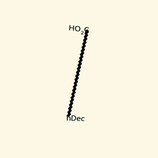 CCCCCCCCCCCCCCCCCCCCCCCCCCCCCCCCCCCCCCCCCCCCCCCCCCCCCCCCCCC(=O)O